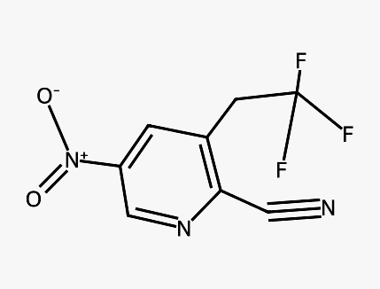 N#Cc1ncc([N+](=O)[O-])cc1CC(F)(F)F